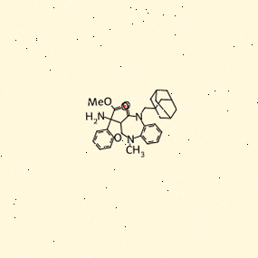 COC(=O)C(N)(c1ccccc1)C1C(=O)N(C)c2ccccc2N(CC23CC4CC(CC(C4)C2)C3)C1=O